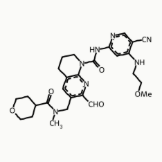 COCCNc1cc(NC(=O)N2CCCc3cc(CN(C)C(=O)C4CCOCC4)c(C=O)nc32)ncc1C#N